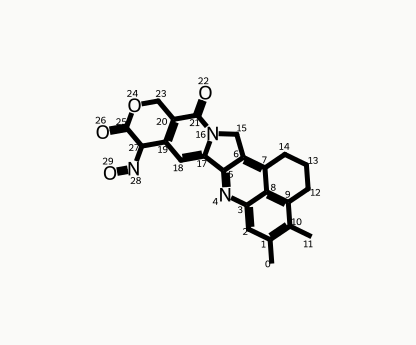 Cc1cc2nc3c(c4c2c(c1C)CCC4)Cn1c-3cc2c(c1=O)COC(=O)C2N=O